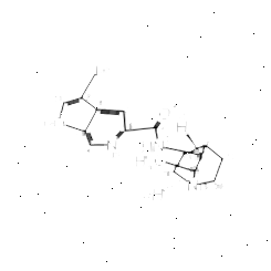 C[C@H]1[C@H](NC(=O)c2cc3c(I)coc3cn2)C2CCN1CC2